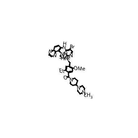 CCc1cc(CNc2ncc(Br)c(Nc3ccc4nccnc4c3NSC)n2)c(OC)cc1C(=O)N1CCC(N2CCN(C)CC2)CC1